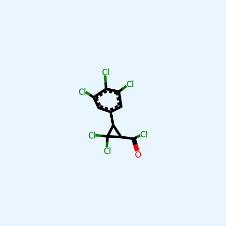 O=C(Cl)C1C(c2cc(Cl)c(Cl)c(Cl)c2)C1(Cl)Cl